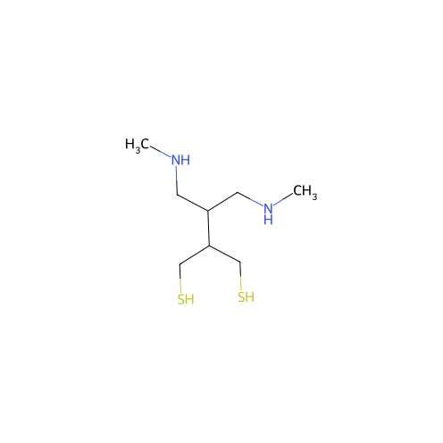 CNCC(CNC)C(CS)CS